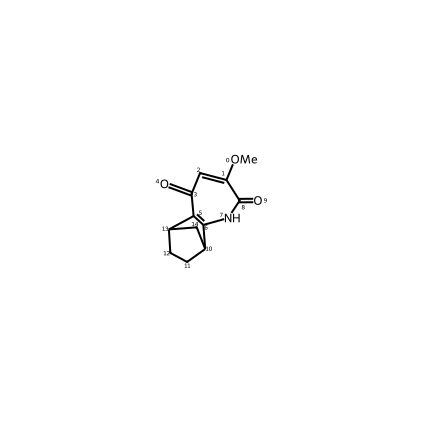 COc1cc(=O)c2c([nH]c1=O)C1CCC2C1